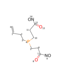 C=CCCP(CCC(=O)N=O)CCC(=O)N=O